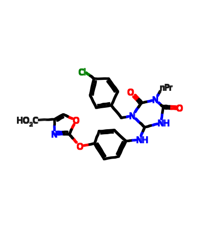 CCCN1C(=O)NC(Nc2ccc(Oc3nc(C(=O)O)co3)cc2)N(Cc2ccc(Cl)cc2)C1=O